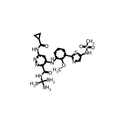 BC(B)(B)NC(=O)c1nnc(NC(=O)C2CC2)cc1Nc1cccc(-c2ncc(NS(C)(=O)=O)s2)c1OC